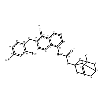 CC12C=C3CC(C1)CC(CC(=O)Nc1cccc4c(=O)n(Cc5ccc(F)cc5F)ccc14)(C3)C2